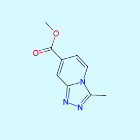 COC(=O)c1ccn2c(C)nnc2c1